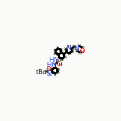 CC(C)(C)c1nc2cccc(NC(=O)Nc3ccc(-c4ccc(CN5CCOCC5)nc4)c4ccccc34)c2o1